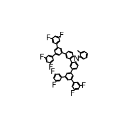 Cc1ccccc1-n1c2ccc(-c3cc(-c4cc(F)cc(F)c4)cc(-c4cc(F)cc(F)c4)c3)cc2c2cc(-c3cc(-c4cc(F)cc(F)c4)cc(-c4cc(F)cc(F)c4)c3)ccc21